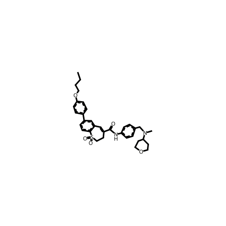 CCCCOc1ccc(-c2ccc3c(c2)C=C(C(=O)Nc2ccc(CN(C)C4CCOCC4)cc2)CCS3(=O)=O)cc1